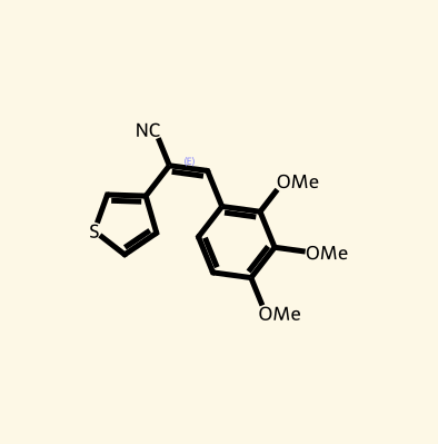 COc1ccc(/C=C(/C#N)c2ccsc2)c(OC)c1OC